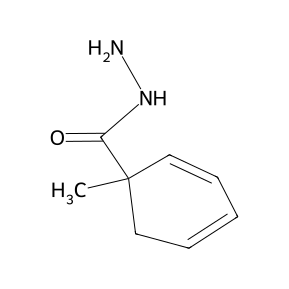 CC1(C(=O)NN)C=CC=CC1